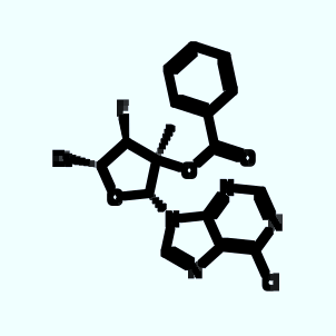 CC[C@H]1O[C@@H](n2cnc3c(Cl)ncnc32)[C@](C)(OC(=O)c2ccccc2)[C@@H]1F